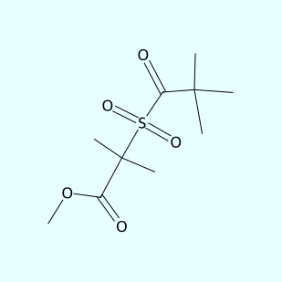 COC(=O)C(C)(C)S(=O)(=O)C(=O)C(C)(C)C